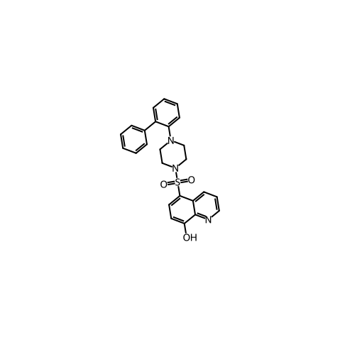 O=S(=O)(c1ccc(O)c2ncccc12)N1CCN(c2ccccc2-c2ccccc2)CC1